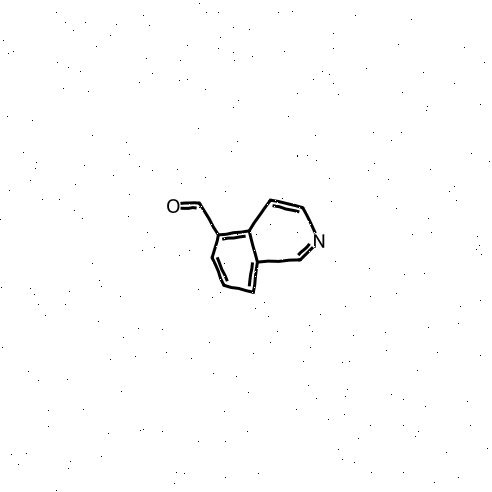 O=Cc1cccc2cnccc12